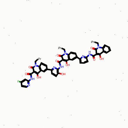 CC(C)Cn1c(=O)c(C(=O)Nc2cc(F)ccn2)c(O)c2cc(-c3ccc(O)c(NC(=O)c4c(O)c5cc(-c6cccc(NC(=O)c7c(O)c8ccccc8n(CC(C)C)c7=O)n6)ccc5n(CC(C)C)c4=O)n3)ccc21